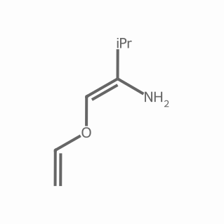 C=CO/C=C(\N)C(C)C